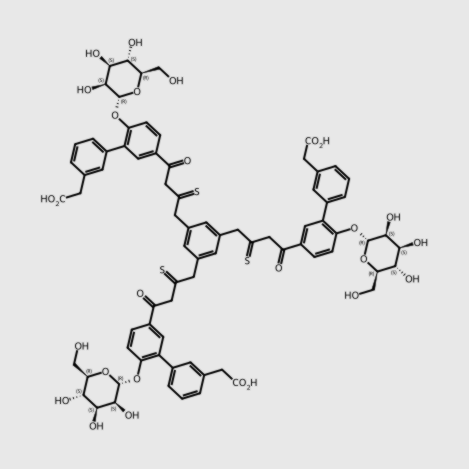 O=C(O)Cc1cccc(-c2cc(C(=O)CC(=S)Cc3cc(CC(=S)CC(=O)c4ccc(O[C@H]5O[C@H](CO)[C@@H](O)[C@H](O)[C@@H]5O)c(-c5cccc(CC(=O)O)c5)c4)cc(CC(=S)CC(=O)c4ccc(O[C@H]5O[C@H](CO)[C@@H](O)[C@H](O)[C@@H]5O)c(-c5cccc(CC(=O)O)c5)c4)c3)ccc2O[C@H]2O[C@H](CO)[C@@H](O)[C@H](O)[C@@H]2O)c1